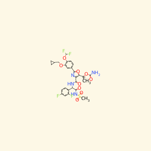 C[C@H](OC(N)=O)c1oc(-c2ccc(OC(F)F)c(OCC3CC3)c2)nc1C(=O)NC(C(=O)NS(C)(=O)=O)c1ccc(F)cc1F